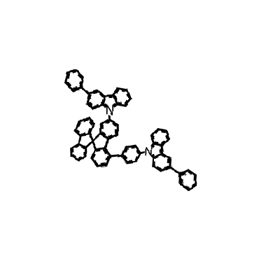 c1ccc(-c2ccc3c(c2)c2ccccc2n3-c2ccc(-c3cccc4c3-c3ccc(-n5c6ccccc6c6cc(-c7ccccc7)ccc65)cc3C43c4ccccc4-c4ccccc43)cc2)cc1